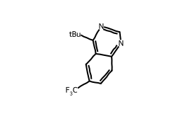 CC(C)(C)c1ncnc2ccc(C(F)(F)F)cc12